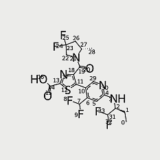 CC[C@H](Nc1cc(C(F)F)c(-c2sc(C(=O)O)nc2C(=O)N2CC(F)(F)C[C@@H]2C)cn1)C(F)F